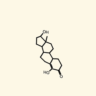 CC12CCC3C4CCC(=O)C(O)=C4CCC3C1CCC2O